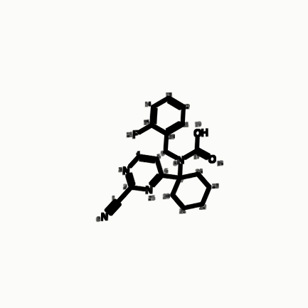 N#Cc1nccc(C2(N(Cc3ccccc3F)C(=O)O)CCCCC2)n1